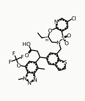 CC[C@@H]1CN(Cc2cc(C(CC(=O)O)c3cc(OC(F)(F)F)c4c(nnn4C)c3C)cc3ccsc23)S(=O)(=O)c2cc(Cl)cnc2O1